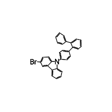 Brc1ccc2c(c1)c1ccccc1n2-c1ccc(-c2ccccc2-c2ccccc2)cc1